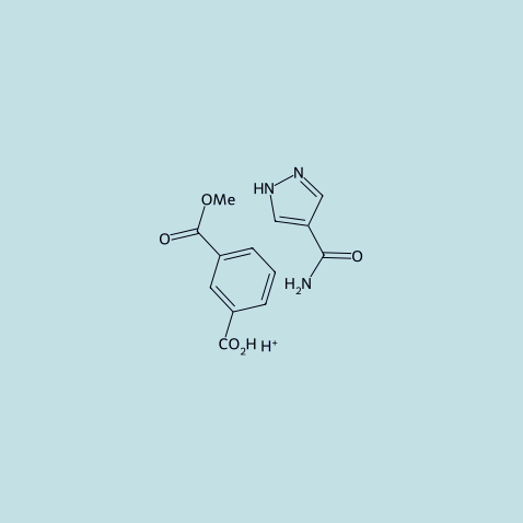 COC(=O)c1cccc(C(=O)O)c1.NC(=O)c1cn[nH]c1.[H+]